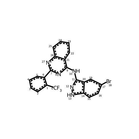 FC(F)(F)c1ccccc1-c1nc(Nc2n[nH]c3ccc(Br)cc23)c2ccccc2n1